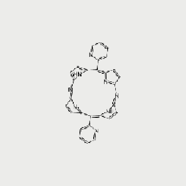 C1=Cc2nc1nc1ccc([nH]1)c(-c1ccccn1)c1nc(nc3ccc([nH]3)c2-c2ccccn2)C=C1